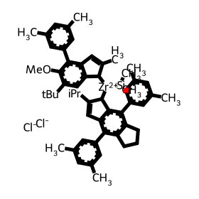 COc1c(C(C)(C)C)cc2c(c1-c1cc(C)cc(C)c1)C=C(C)[CH]2[Zr+2]([CH]1C(C(C)C)=Cc2c(-c3cc(C)cc(C)c3)c3c(c(-c4cc(C)cc(C)c4)c21)CCC3)=[Si](C)C.[Cl-].[Cl-]